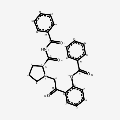 O=C(NC(=O)[C@@H]1CCCN1CC(=O)c1ccccc1OC(=O)c1ccccc1)c1ccccc1